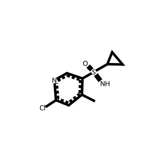 Cc1cc(Cl)ncc1S(=N)(=O)C1CC1